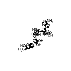 [CH2]CC(Cc1cc[n+]([C@@H]2O[C@H](COP(=O)(O)OP(=O)(O)OC[C@H]3O[C@@H](n4cnc5c(N)ncnc54)[C@H](OP(=O)(O)O)[C@@H]3O)[C@@H](O)[C@H]2O)cc1)C(=O)O